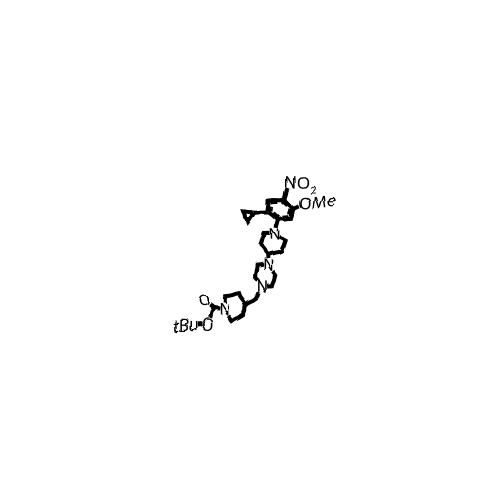 COc1cc(N2CCC(N3CCN(CC4CCN(C(=O)OC(C)(C)C)CC4)CC3)CC2)c(C2CC2)cc1[N+](=O)[O-]